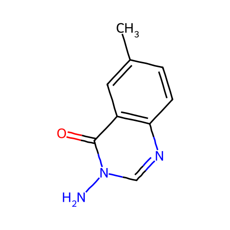 Cc1ccc2ncn(N)c(=O)c2c1